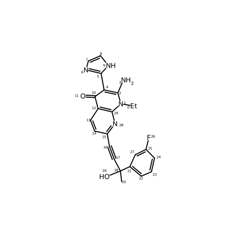 CCn1c(N)c(-c2ncc[nH]2)c(=O)c2ccc(C#CC(C)(O)c3cccc(F)c3)nc21